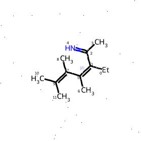 CC/C(C(C)=N)=C(\C)C(C)=C(C)C